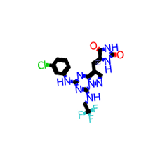 O=C1NC(=O)/C(=C/c2cnn3c(NCC(F)(F)F)nc(Nc4cccc(Cl)c4)nc23)N1